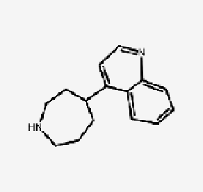 c1ccc2c(C3CCCNCC3)ccnc2c1